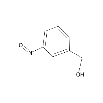 O=Nc1cccc(CO)c1